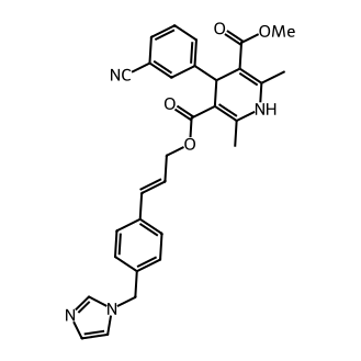 COC(=O)C1=C(C)NC(C)=C(C(=O)OCC=Cc2ccc(Cn3ccnc3)cc2)C1c1cccc(C#N)c1